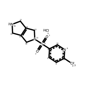 Cl.O=S(=O)(c1ccc(C(F)(F)F)nc1)N1CC2=C(CNC2)C1